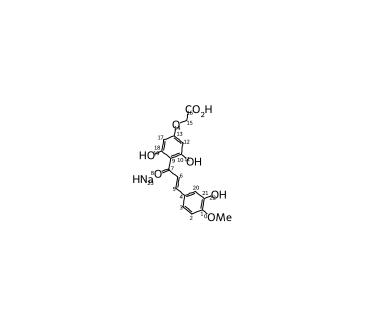 COc1ccc(/C=C/C(=O)c2c(O)cc(OCC(=O)O)cc2O)cc1O.[NaH]